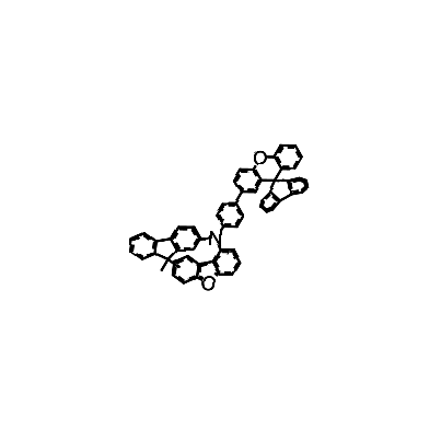 CC1(C)c2ccccc2-c2ccc(N(c3ccc(-c4ccc5c(c4)C4(c6ccccc6O5)c5ccccc5-c5ccccc54)cc3)c3cccc4oc5ccccc5c34)cc21